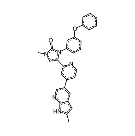 Cc1cc2cc(-c3ccnc(-c4cn(C)c(=O)n4-c4cccc(Oc5ccccc5)c4)c3)cnc2[nH]1